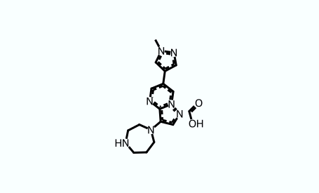 Cn1cc(-c2cnc3c(N4CCCNCC4)cnn3c2)cn1.O=CO